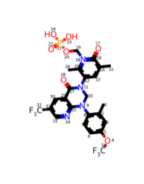 Cc1cc(OC(F)(F)F)ccc1N1CN(c2cc(C)c(=O)n(COP(=O)(O)O)c2C)C(=O)c2cc(C(F)(F)F)cnc21